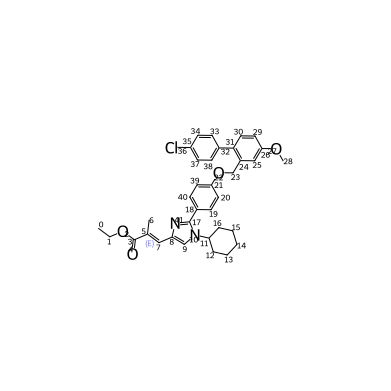 CCOC(=O)/C(C)=C/c1cn(C2CCCCC2)c(-c2ccc(OCc3cc(OC)ccc3-c3ccc(Cl)cc3)cc2)n1